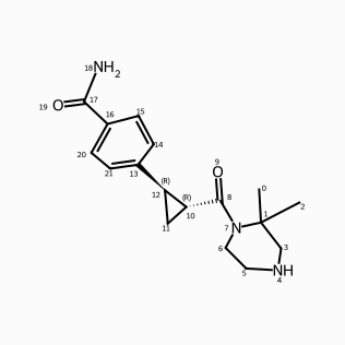 CC1(C)CNCCN1C(=O)[C@@H]1C[C@H]1c1ccc(C(N)=O)cc1